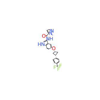 Cn1nccc1C(=O)Nc1c[nH]c2ccc(O[C@H]3C[C@@H](c4ccc(C(F)(F)F)cc4)C3)cc12